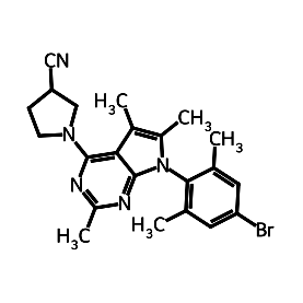 Cc1nc(N2CCC(C#N)C2)c2c(C)c(C)n(-c3c(C)cc(Br)cc3C)c2n1